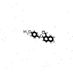 Cc1ccc(COc2ccc3ccccc3c2C=O)cc1